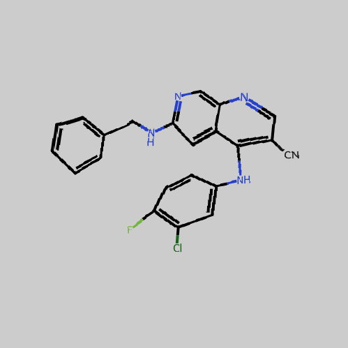 N#Cc1cnc2cnc(NCc3ccccc3)cc2c1Nc1ccc(F)c(Cl)c1